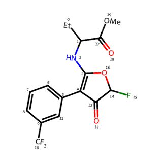 CCC(NC1=C(c2cccc(C(F)(F)F)c2)C(=O)C(F)O1)C(=O)OC